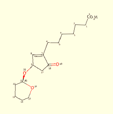 O=C(O)CCCCCCC1=CC(O[C@@H]2CCCCO2)CC1=O